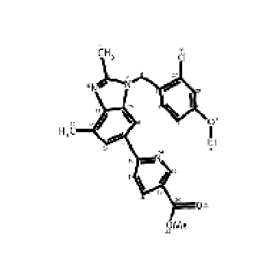 CCOc1ccc(Cn2c(C)nc3c(C)cc(-c4ccc(C(=O)OC)cn4)cc32)c(Cl)c1